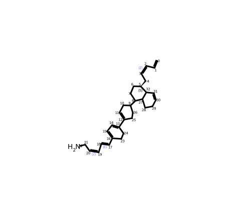 C=C/C=C\C[C@@H]1CCC(C2CC=C(C3=CC=C(/C=C/C=C\CN)CC3)CC2)C2CCC=CC21